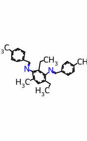 CCc1cc(C)c(/N=C/c2ccc(C)cc2)c(CC)c1/N=C/c1ccc(C)cc1